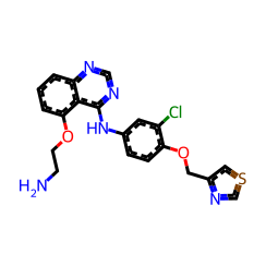 NCCOc1cccc2ncnc(Nc3ccc(OCc4cscn4)c(Cl)c3)c12